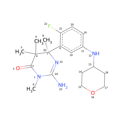 CN1C(=O)C(C)(C)[C@@](C)(c2cc(NC3CCOCC3)ccc2F)N=C1N